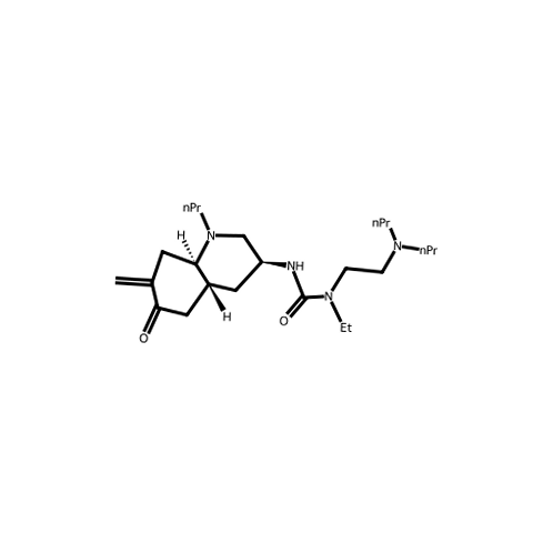 C=C1C[C@@H]2[C@@H](CC1=O)C[C@H](NC(=O)N(CC)CCN(CCC)CCC)CN2CCC